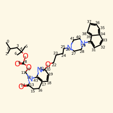 CC(C)CC(C)(C)OC(=O)OCN1C(=O)CCc2ccc(OCCCCN3CCN(c4cccc5ccccc45)CC3)nc21